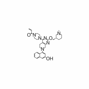 C=CC(=O)N1CCN(c2nc(OC[C@@H]3CCCN(C)C3)nc3c2CCN(c2cc(O)cc4ccccc24)C3)CC1